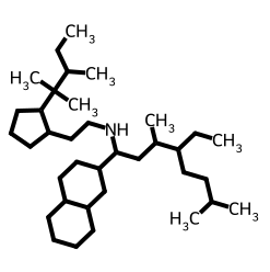 CCC(CCC(C)C)C(C)CC(NCCC1CCCC1C(C)(C)C(C)CC)C1CCC2CCCCC2C1